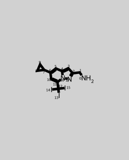 NCc1cc2cc(C3CC3)cc(C(I)(I)I)n2n1